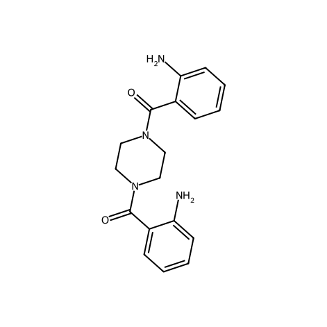 Nc1ccccc1C(=O)N1CCN(C(=O)c2ccccc2N)CC1